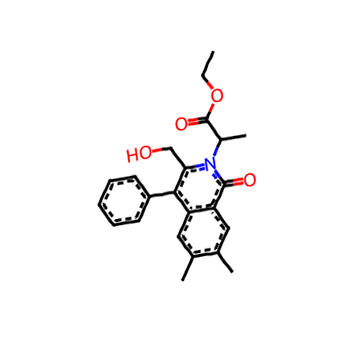 CCOC(=O)C(C)n1c(CO)c(-c2ccccc2)c2cc(C)c(C)cc2c1=O